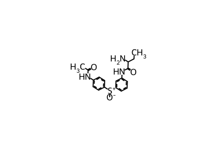 CCC(N)C(=O)Nc1cccc([S+]([O-])c2ccc(NC(C)=O)cc2)c1